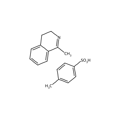 CC1=NCCc2ccccc21.Cc1ccc(S(=O)(=O)O)cc1